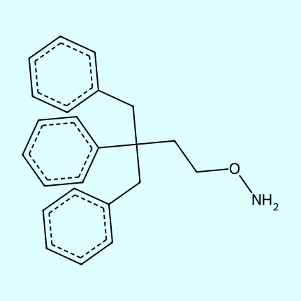 NOCCC(Cc1ccccc1)(Cc1ccccc1)c1ccccc1